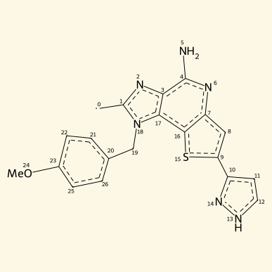 [CH2]c1nc2c(N)nc3cc(-c4cc[nH]n4)sc3c2n1Cc1ccc(OC)cc1